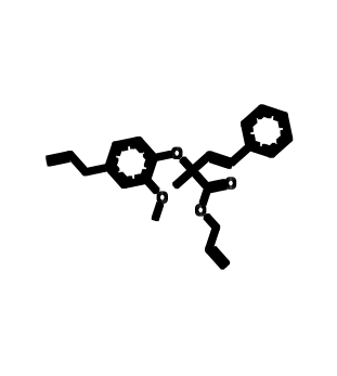 C=CCOC(=O)C(C)(C=Cc1ccccc1)Oc1ccc(CC=C)cc1OC